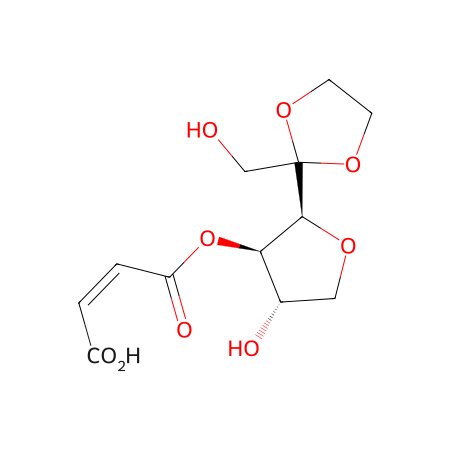 O=C(O)/C=C\C(=O)O[C@@H]1[C@@H](O)CO[C@@H]1C1(CO)OCCO1